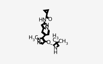 Cn1ncc(OC[C@H]2NCC2(C)C)c1-c1ccn2nc(NC(=O)C3CC3)cc2c1